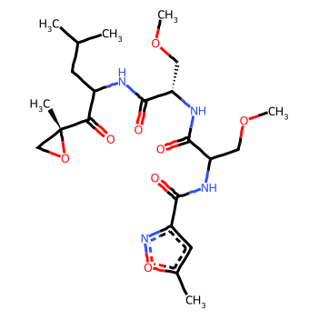 COCC(NC(=O)c1cc(C)on1)C(=O)N[C@@H](COC)C(=O)NC(CC(C)C)C(=O)[C@@]1(C)CO1